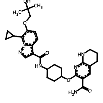 CC(C)(O)COc1ccc2c(C(=O)NC3CCC(Oc4nc5c(cc4C(N)=O)CCCN5)CC3)cnn2c1C1CC1